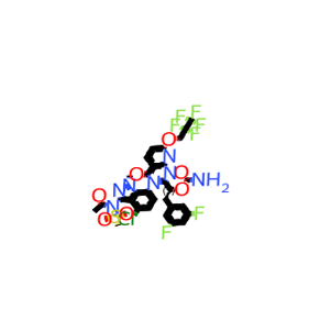 CC(=O)N(c1nn(C)c2c(-n3c([C@H](Cc4cc(F)cc(F)c4)OC(N)=O)nc4nc(OCC(F)(F)C(F)(F)F)ccc4c3=O)ccc(Cl)c12)S(C)(=O)=O